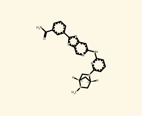 CN1C[C@@H]2C[C@H]1CN2c1cccc(Nc2cc3nc(-c4cccc(C(N)=O)c4)sc3cn2)n1